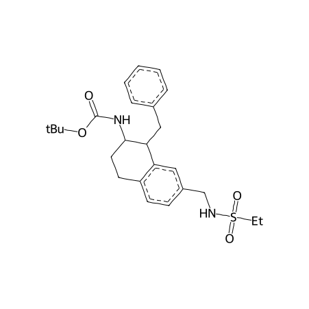 CCS(=O)(=O)NCc1ccc2c(c1)C(Cc1ccccc1)C(NC(=O)OC(C)(C)C)CC2